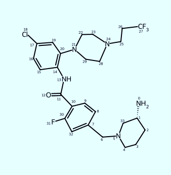 N[C@@H]1CCCN(Cc2ccc(C(=O)Nc3ccc(Cl)cc3N3CCN(CCC(F)(F)F)CC3)c(F)c2)C1